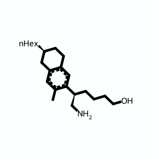 CCCCCC[C@H]1CCc2cc([C@H](CN)CCCCO)c(C)cc2C1